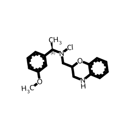 COc1cccc([C@@H](C)N(Cl)CC2CNc3ccccc3O2)c1